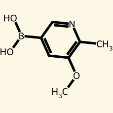 COc1cc(B(O)O)cnc1C